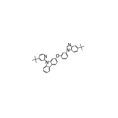 CC(C)(C)c1ccnc(-n2c3ccccc3c3ccc(Oc4cccc(-n5cnc6cc(C(C)(C)C)ccc65)c4)cc32)c1